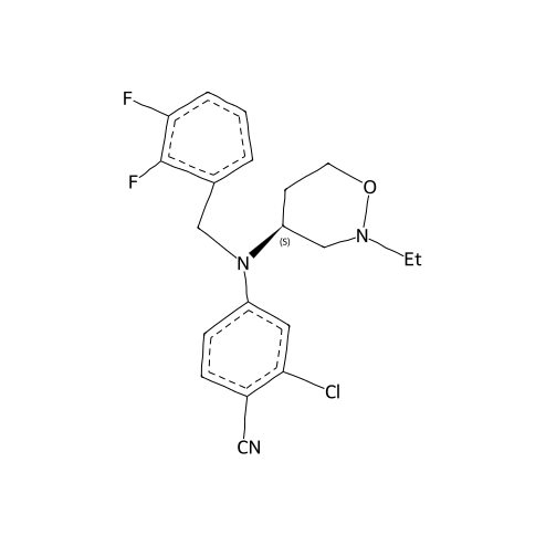 CCN1C[C@@H](N(Cc2cccc(F)c2F)c2ccc(C#N)c(Cl)c2)CCO1